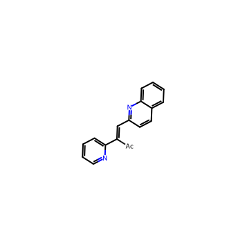 CC(=O)/C(=C\c1ccc2ccccc2n1)c1ccccn1